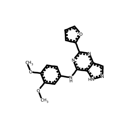 COc1ccc(Nc2nc(-c3ccco3)nc3cn[nH]c23)cc1OC